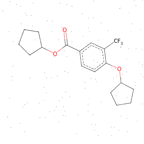 O=C(OC1CCCC1)c1ccc(OC2CCCC2)c(C(F)(F)F)c1